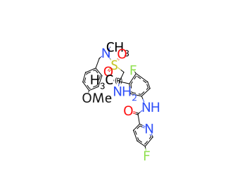 COc1ccc(CN(C)S(=O)(=O)C[C@](C)(N)c2cc(NC(=O)c3ccc(F)cn3)ccc2F)cc1